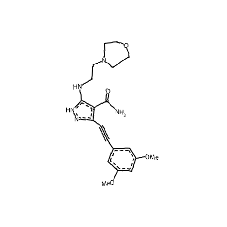 COc1cc(C#Cc2n[nH]c(NCCN3CCOCC3)c2C(N)=O)cc(OC)c1